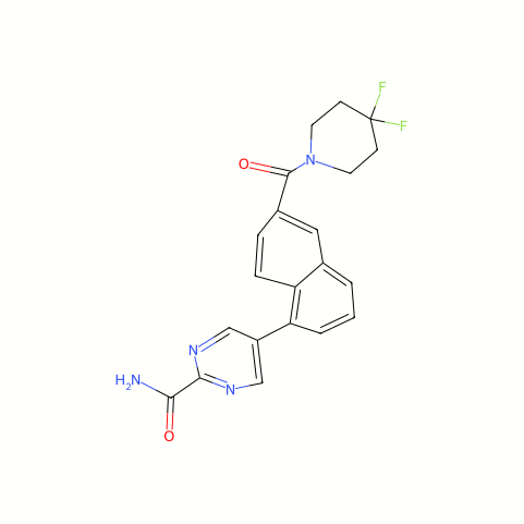 NC(=O)c1ncc(-c2cccc3cc(C(=O)N4CCC(F)(F)CC4)ccc23)cn1